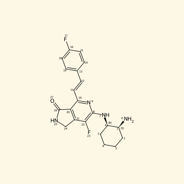 N[C@H]1CCCC[C@H]1Nc1nc(C=Cc2ccc(F)cc2)c2c(c1F)CNC2=O